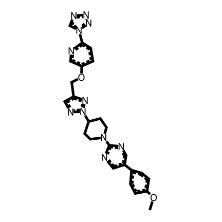 COc1ccc(-c2cnc(N3CCC(n4ncc(COc5ccc(-n6cnnn6)nc5)n4)CC3)nc2)cc1